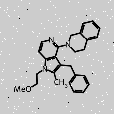 COCCn1c(C)c(Cc2ccccc2)c2c(N3CCc4ccccc4C3)nccc21